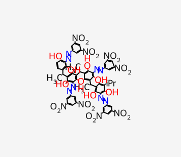 CC(C)c1cc(C(C)c2cc(C(C)c3cc(C(C)c4ccc(O)c(N=Nc5cc([N+](=O)[O-])cc([N+](=O)[O-])c5)c4O)c(O)c(N=Nc4cc([N+](=O)[O-])cc([N+](=O)[O-])c4)c3O)c(O)c(N=Nc3cc([N+](=O)[O-])cc([N+](=O)[O-])c3)c2O)c(O)c(N=Nc2cc([N+](=O)[O-])cc([N+](=O)[O-])c2)c1O